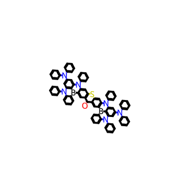 O=c1c2cc3c(cc2sc2cc4c(cc12)B1c2ccccc2N(c2ccccc2)c2cc(N(c5ccccc5)c5ccccc5)cc(c21)N4c1ccccc1)N(c1ccccc1)c1cc(N(c2ccccc2)c2ccccc2)cc2c1B3c1ccccc1N2c1ccccc1